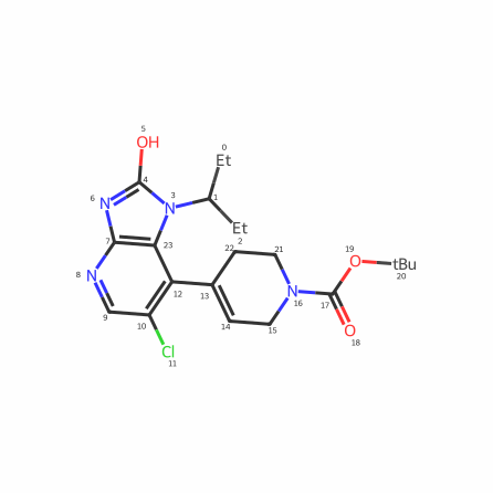 CCC(CC)n1c(O)nc2ncc(Cl)c(C3=CCN(C(=O)OC(C)(C)C)CC3)c21